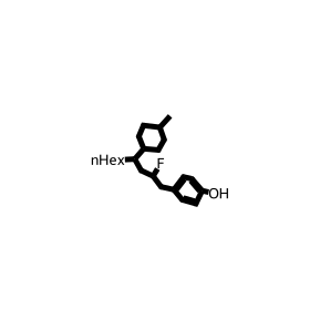 CCCCCCC(CC(F)Cc1ccc(O)cc1)C1CCC(C)CC1